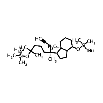 C#CC[C@](C)(CCCC(C)(C)O[Si](C)(C)C)C1CCC2C(O[Si](C)(C)C(C)(C)C)CCC[C@@]21C